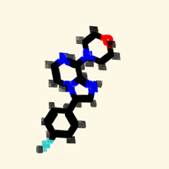 Fc1ccc(-c2cnc3c(N4CCOCC4)nccn23)cc1